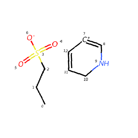 CCCS(=O)(=O)[O-].[C+]1=CNCC=C1